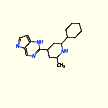 CC1CC(c2ncc3nccc-3[nH]2)CC(C2CCCCC2)N1